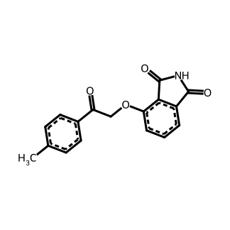 Cc1ccc(C(=O)COc2cccc3c2C(=O)NC3=O)cc1